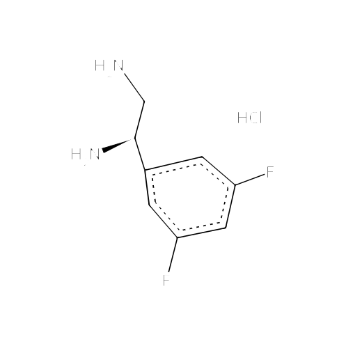 Cl.NC[C@H](N)c1cc(F)cc(F)c1